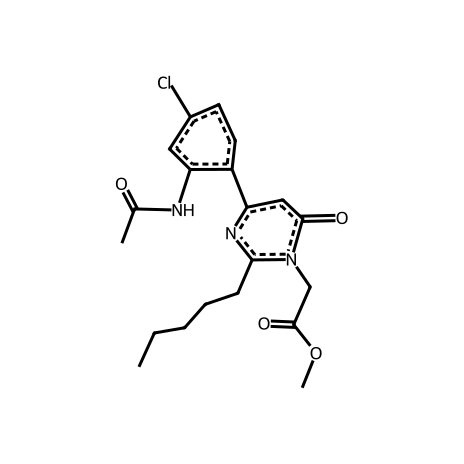 CCCCCc1nc(-c2ccc(Cl)cc2NC(C)=O)cc(=O)n1CC(=O)OC